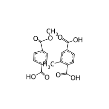 COC(=O)c1ccc(C(=O)O)cc1.Cc1cc(C(=O)O)ccc1C(=O)O